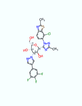 Cc1nc([C@H]2O[C@@H](CO)[C@@H](O)[C@@H](n3cc(-c4cc(F)c(F)c(F)c4)cn3)[C@@H]2O)n(-c2ccc3nc(C)sc3c2Cl)n1